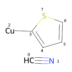 C#N.[Cu][c]1cccs1